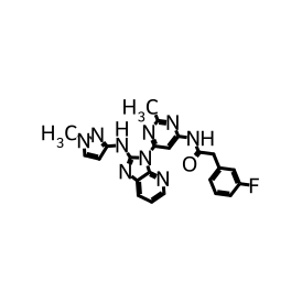 Cc1nc(NC(=O)Cc2cccc(F)c2)cc(-n2c(Nc3ccn(C)n3)nc3cccnc32)n1